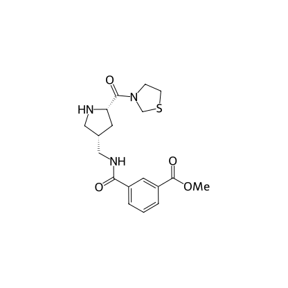 COC(=O)c1cccc(C(=O)NC[C@@H]2CN[C@H](C(=O)N3CCSC3)C2)c1